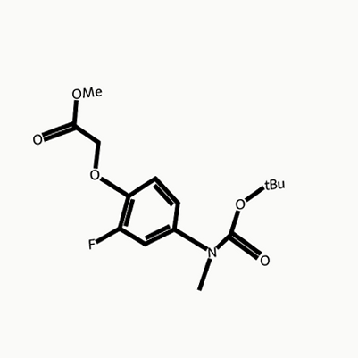 COC(=O)COc1ccc(N(C)C(=O)OC(C)(C)C)cc1F